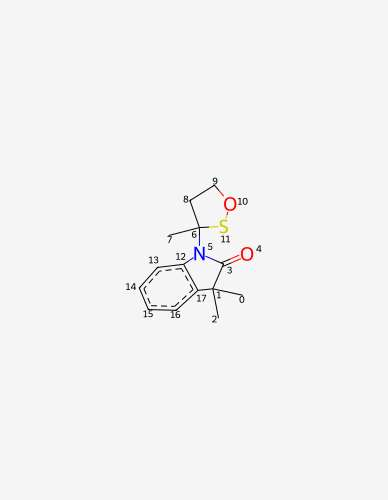 CC1(C)C(=O)N(C2(C)CCOS2)c2ccccc21